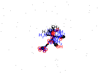 CCC(C)[C@H](NC(=O)[C@@H](NC(=O)[C@H](CCCCN)NC(=O)[C@H](CCCCNC(=O)c1ccccc1N)NC(=O)[C@H](CCC(=O)NCCCCCNc1ccc([N+](=O)[O-])cc1[N+](=O)[O-])NC(=O)[C@@H](N)Cc1ccc(O)cc1)C(C)C)C(=O)NCC(N)=O